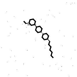 CCCCCCC[C@H]1CC[C@H](C2CCC([C@@H]3CCC[C@H](CC)C3)CC2)CC1